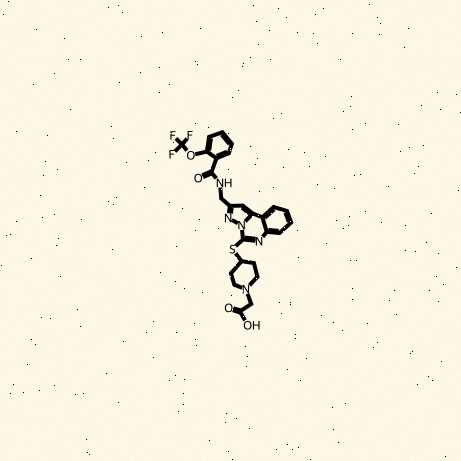 O=C(O)CN1CCC(Sc2nc3ccccc3c3cc(CNC(=O)c4ccccc4OC(F)(F)F)nn23)CC1